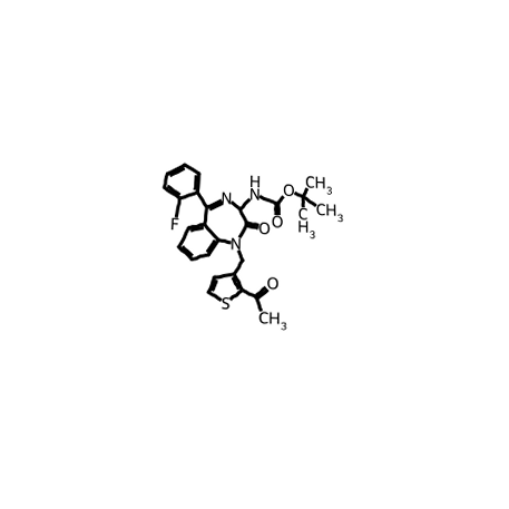 CC(=O)c1sccc1CN1C(=O)C(NC(=O)OC(C)(C)C)N=C(c2ccccc2F)c2ccccc21